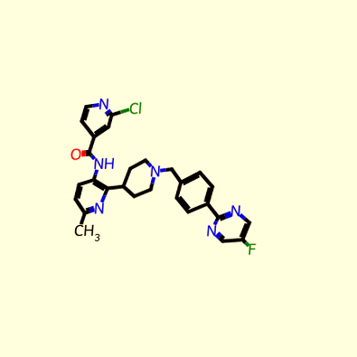 Cc1ccc(NC(=O)c2ccnc(Cl)c2)c(C2CCN(Cc3ccc(-c4ncc(F)cn4)cc3)CC2)n1